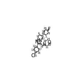 Fc1ccc(-c2ccc3nc(-c4ccc(Cl)cc4)c(CN4CCOCC4)n3c2)cc1